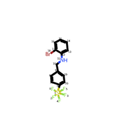 FS(F)(F)(F)(F)c1ccc(CNc2ccccc2Br)cc1